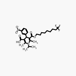 CC1=C(C(=O)O)C(c2cccc([N+](=O)[O-])c2)C(C(=O)OCCCCCCCCC(F)(F)F)=C(C)N1C(C)C